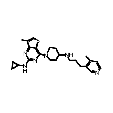 Cc1ccncc1CCCNC1CCN(c2nc(NC3CC3)nc3c(C)csc23)CC1